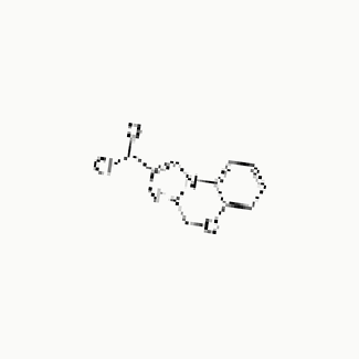 O=C(Cl)c1cn2c(n1)COc1ccccc1-2